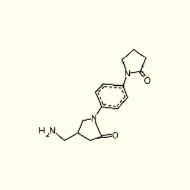 NCC1CC(=O)N(c2ccc(N3CCCC3=O)cc2)C1